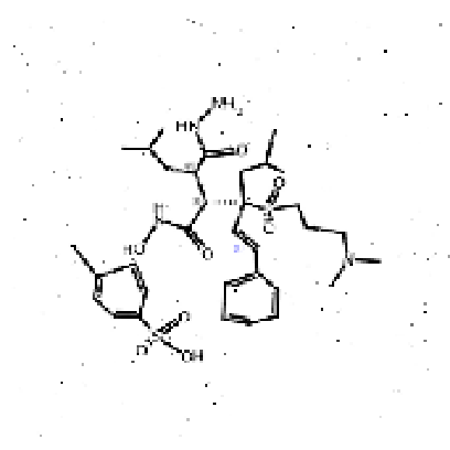 CC(C)C[C@@H](C(=O)NN)[C@@H](C(=O)NO)C(/C=C/c1ccccc1)(CC(C)C)S(=O)(=O)CCCN(C)C.Cc1ccc(S(=O)(=O)O)cc1